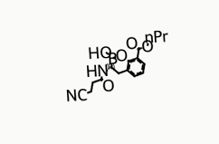 CCCOC(=O)c1cccc2c1OB(O)[C@@H](NC(=O)CCC#N)C2